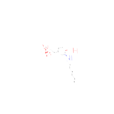 CCCCCCCCNC1CC(CC[Si](OC)(OC)OC)CCC1O